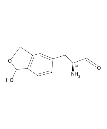 N[C@H](C=O)Cc1ccc2c(c1)COC2O